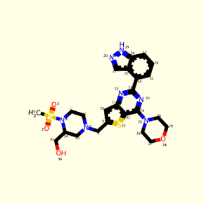 CS(=O)(=O)N1CCN(Cc2cc3nc(-c4cccc5[nH]ncc45)nc(N4CCOCC4)c3s2)CC1CO